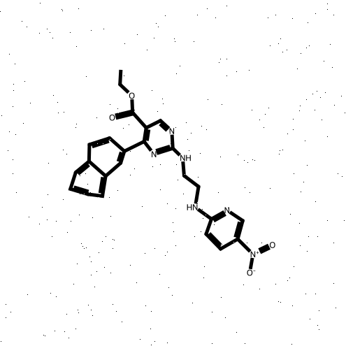 CCOC(=O)c1cnc(NCCNc2ccc([N+](=O)[O-])cn2)nc1-c1ccc2ccccc2c1